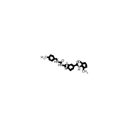 Cc1ccc(CNC(=O)Nc2nc3ccc(C(=O)Nc4c(C)cccc4Cl)cc3s2)cc1